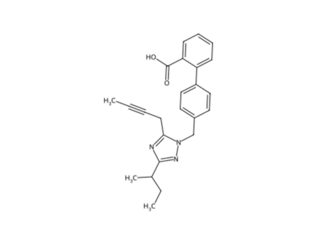 CC#CCc1nc(C(C)CC)nn1Cc1ccc(-c2ccccc2C(=O)O)cc1